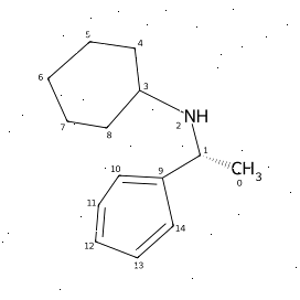 C[C@@H](NC1CCCCC1)c1ccccc1